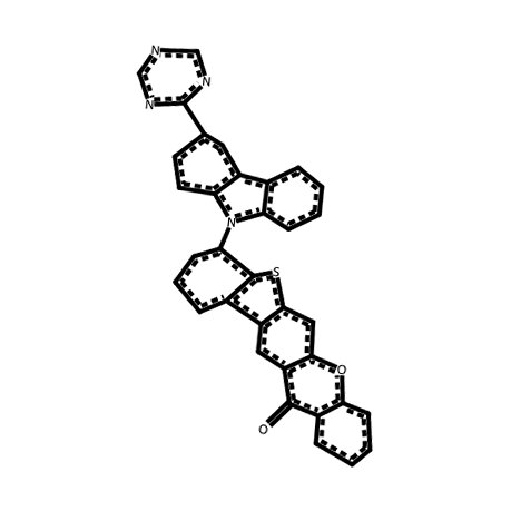 O=c1c2ccccc2oc2cc3sc4c(-n5c6ccccc6c6cc(-c7ncncn7)ccc65)cccc4c3cc12